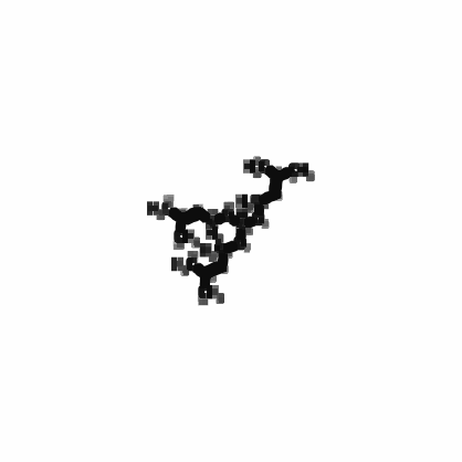 CC(C)=C[SiH2]O[SiH](O[SiH2]C=C(C)C)O[SiH2]C=C(C)C